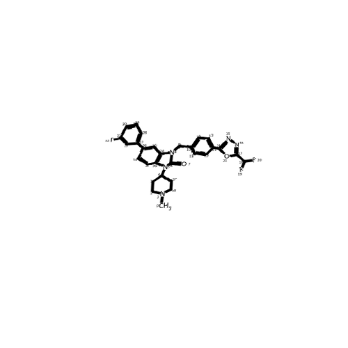 CN1CCC(n2c(=O)n(Cc3ccc(-c4nnc(C(F)F)o4)cc3)c3cc(-c4cccc(F)c4)ccc32)CC1